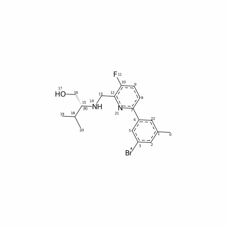 Cc1cc(Br)cc(-c2ccc(F)c(CN[C@@H](CO)C(C)C)n2)c1